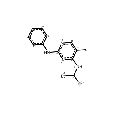 CCCC(CC)Nc1nc(Nc2ccccc2)ncc1C